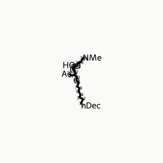 CCCCCCCCCCCCCCCCCCOCC(COP(O)OCCCNC)CC(C)=O